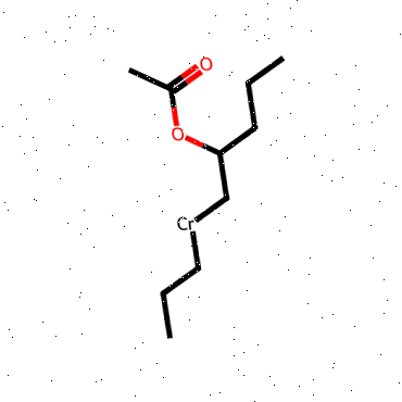 CC[CH2][Cr][CH2]C(CCC)OC(C)=O